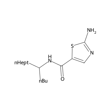 CCCCCCCC(CCCC)NC(=O)c1cnc(N)s1